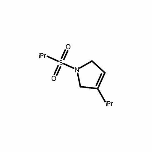 CC(C)C1=CCN(S(=O)(=O)C(C)C)C1